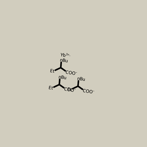 CCCCC(CC)C(=O)[O-].CCCCC(CC)C(=O)[O-].CCCCC(CC)C(=O)[O-].[Yb+3]